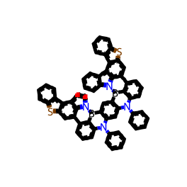 c1ccc(N2c3cc4c(cc3B3c5c(cccc52)-c2cc5sc6ccccc6c5c5c6ccccc6n3c25)B2c3c(cccc3N4c3ccccc3)-c3cc4sc5ccccc5c4c4c5ccccc5n2c34)cc1